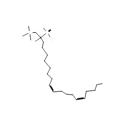 CCCC/C=C\CCC/C=C\CCCCCCCC(O)(C[N+](C)(C)C)P(=O)(O)O